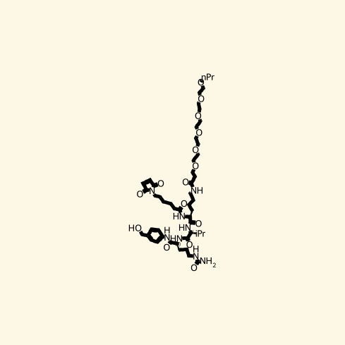 CCCOCCOCCOCCOCCOCCOCCC(=O)NCCCC[C@H](NC(=O)CCCCCN1C(=O)C=CC1=O)C(=O)N[C@H](C(=O)N[C@@H](CCCNC(N)=O)C(=O)Nc1ccc(CO)cc1)C(C)C